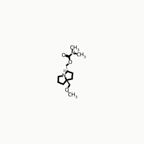 COC[C@@]12CCCN1[C@H](COC(=O)N(C)C)CC2